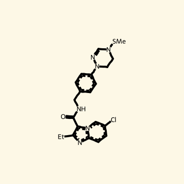 CCc1nc2ccc(Cl)cn2c1C(=O)NCc1ccc(N2CCN(SC)C=N2)cc1